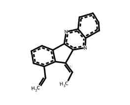 C=Cc1cccc2c1/C(=C\C)c1nc3ccccc3nc1-2